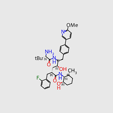 COc1ccc(-c2ccc(C[C@H](NC(=O)[C@@H](N)C(C)(C)C)[C@@H](O)C[C@@H](Cc3ccccc3F)C(=O)N[C@H]3[C@H](C)CCC[C@H]3O)cc2)cn1